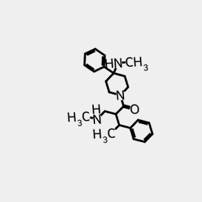 CNCC(C(=O)N1CCC(NC)(c2ccccc2)CC1)C(C)c1ccccc1